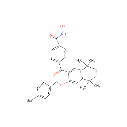 CC(C)(C)c1ccc(COc2cc3c(cc2C(=O)c2ccc(C(=O)NO)cc2)C(C)(C)CCC3(C)C)cc1